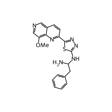 COc1cncc2ccc(-c3nnc(NC(N)Cc4ccccc4)s3)nc12